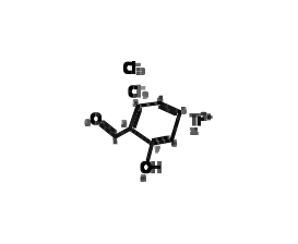 O=Cc1ccccc1O.[Cl-].[Cl-].[Ti+2]